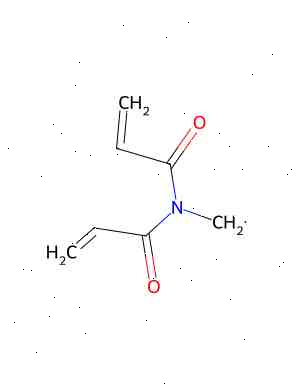 [CH2]N(C(=O)C=C)C(=O)C=C